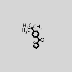 CC(C)(C)c1ccc(C(=O)c2cccs2)cc1